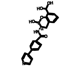 O=C(N[C@H]1Cc2cccc(C(O)O)c2OB1O)c1ccc(-c2ccncc2)cc1